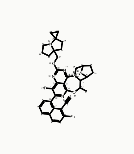 C#Cc1c(F)ccc2cccc(-c3nc4c5c(nc(OCC67CCCN6C6(CC6)CC7)nc5c3F)N3CC5CCC(C3C(C)O4)N5C(=O)O)c12